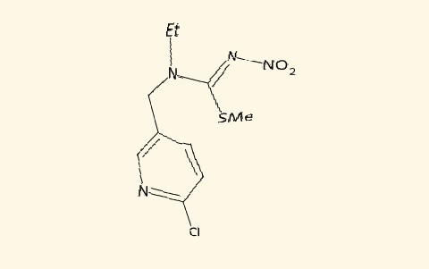 CCN(Cc1ccc(Cl)nc1)/C(=N/[N+](=O)[O-])SC